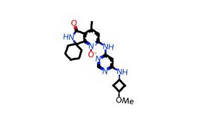 CO[C@H]1C[C@@H](Nc2cc(Nc3cc(C)c4c([n+]3[O-])C3(CCCCC3)NC4=O)ncn2)C1